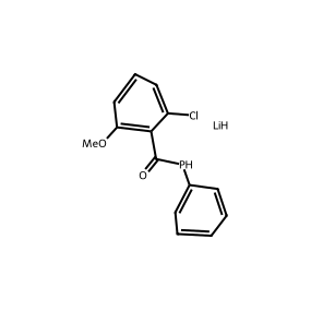 COc1cccc(Cl)c1C(=O)Pc1ccccc1.[LiH]